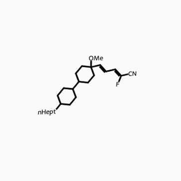 CCCCCCCC1CCC(C2CCC(C=CC=C(F)C#N)(OC)CC2)CC1